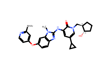 CC(=O)Nc1cc(Oc2ccc3nc(Nc4cc(C5CC5)cn(C[C@H]5CCC[C@@H]5O)c4=O)n(C)c3c2)ccn1